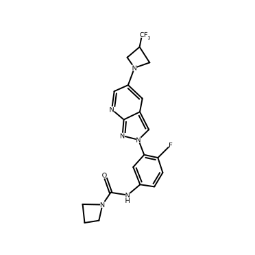 O=C(Nc1ccc(F)c(-n2cc3cc(N4CC(C(F)(F)F)C4)cnc3n2)c1)N1CCC1